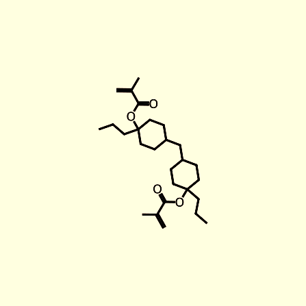 C=C(C)C(=O)OC1(CCC)CCC(CC2CCC(CCC)(OC(=O)C(=C)C)CC2)CC1